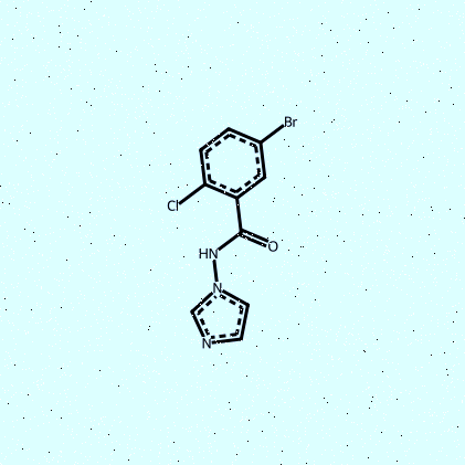 O=C(Nn1ccnc1)c1cc(Br)ccc1Cl